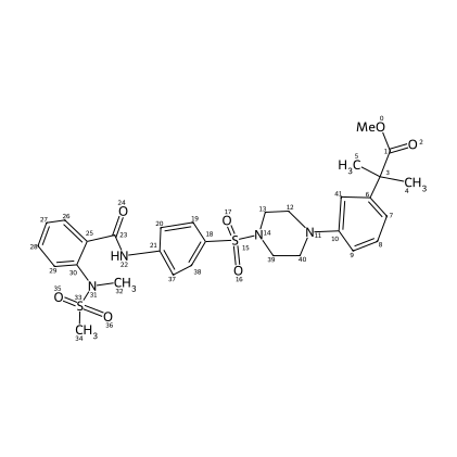 COC(=O)C(C)(C)c1cccc(N2CCN(S(=O)(=O)c3ccc(NC(=O)c4ccccc4N(C)S(C)(=O)=O)cc3)CC2)c1